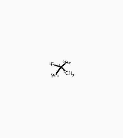 CC(F)(Br)Br